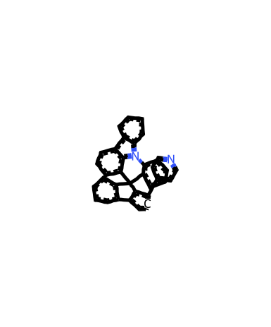 c1ccc2c(c1)-c1cccc(-c3ccncc3)c1C21c2ccccc2-n2c3ccccc3c3cccc1c32